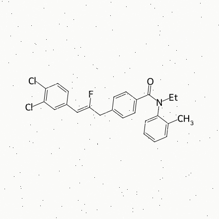 CCN(C(=O)c1ccc(CC(F)=Cc2ccc(Cl)c(Cl)c2)cc1)c1ccccc1C